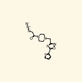 [N-]=[N+]=NCC(=O)N1CCN(Cc2noc(-c3cccs3)n2)CC1